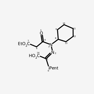 CCCC(C)C(=NN(C(=O)CC(=O)OCC)C1CCCCC1)C(=O)O